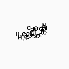 COc1ccc(C(Cc2c(Cl)c[n+]([O-])cc2Cl)OC(=O)c2cccc(COc3cccc(CN(C(=O)O[C@H]4CN5CCC4CC5)c4ccccc4)c3)c2)cc1OC